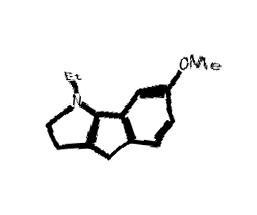 CCN1CCC23CCCCC12c1cc(OC)ccc1C3